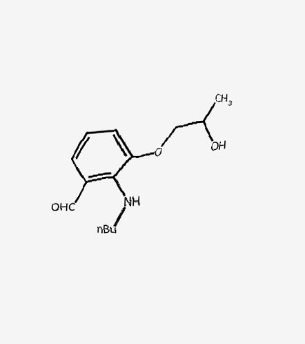 CCCCNc1c(C=O)cccc1OCC(C)O